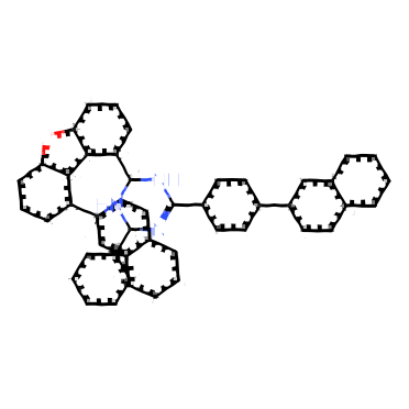 c1ccc(C2N=C(c3ccc(-c4ccc5ccccc5c4)cc3)NC(c3cccc4oc5cccc(-c6ccc7ccccc7c6)c5c34)N2)cc1